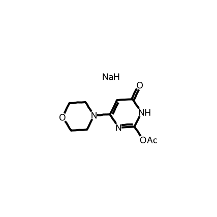 CC(=O)Oc1nc(N2CCOCC2)cc(=O)[nH]1.[NaH]